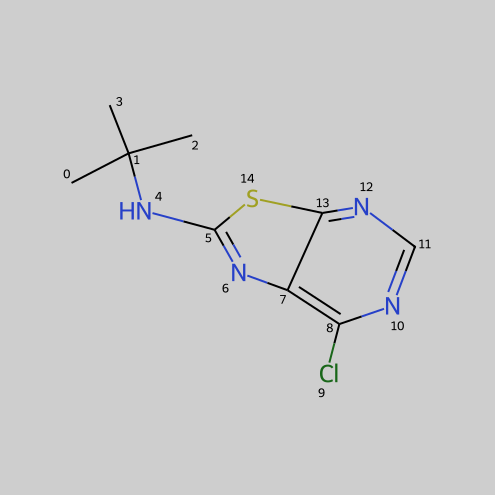 CC(C)(C)Nc1nc2c(Cl)ncnc2s1